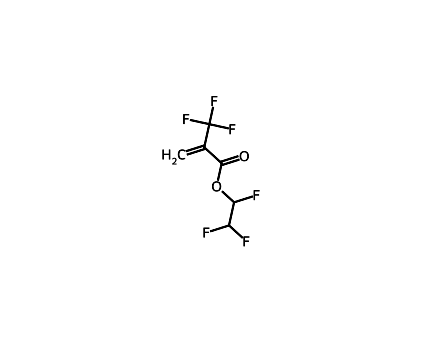 C=C(C(=O)OC(F)C(F)F)C(F)(F)F